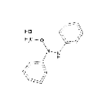 CON(Nc1ccccc1)c1ccccc1.Cl